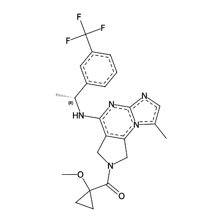 COC1(C(=O)N2Cc3c(N[C@H](C)c4cccc(C(F)(F)F)c4)nc4ncc(C)n4c3C2)CC1